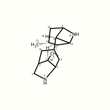 C[C@@H]1C2CNC1CC([C@H]1C3C[C@@H](C)CC1N3)C2